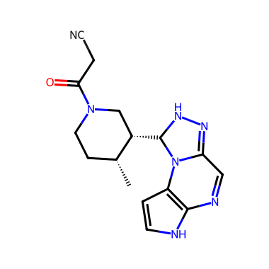 C[C@@H]1CCN(C(=O)CC#N)C[C@@H]1C1NN=C2C=Nc3[nH]ccc3N21